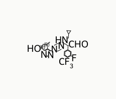 C[C@@H]1C[C@@H](O)c2ncnc(N3CCN(C(NCC4CC4)C(C=O)c4ccc(C(F)(F)F)c(F)c4)CC3)c21